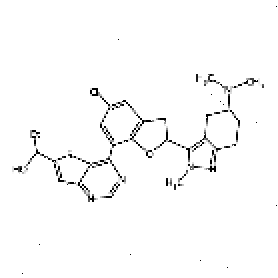 CCC(O)c1cc2ncnc(-c3cc(Cl)cc4c3OC(c3c5c(nn3C)CCC(N(C)C)C5)C4)c2s1